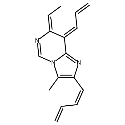 C=C/C=C\c1nc2c(=C/C=C)/c(=C\C)ncn2c1C